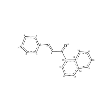 O=C(C=Cc1ccncc1)c1cccc2ccccc12